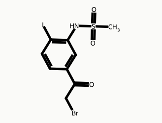 CS(=O)(=O)Nc1cc(C(=O)CBr)ccc1I